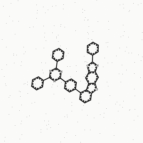 c1ccc(-c2nc(-c3ccccc3)nc(-c3ccc(-c4cccc5oc6cc7nc(-c8ccccc8)sc7cc6c45)cc3)n2)cc1